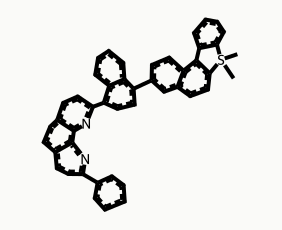 CS1(C)c2ccccc2-c2c1ccc1cc(-c3ccc(-c4ccc5ccc6ccc(-c7ccccc7)nc6c5n4)c4ccccc34)ccc21